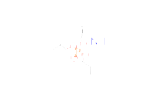 CCCOP(=O)(OCCC)OCCC.N